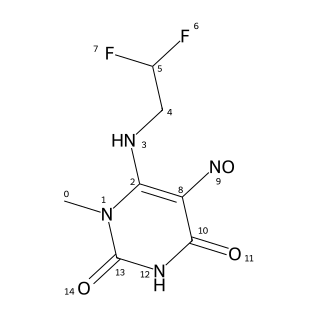 Cn1c(NCC(F)F)c(N=O)c(=O)[nH]c1=O